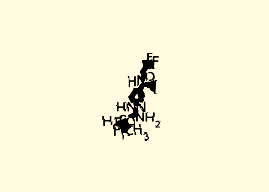 CC(C)(OC[C@@H](N)c1nc2cc([C@H](NC(=O)CC3CC(F)(F)C3)C3CC3)ccc2[nH]1)C(F)(F)F